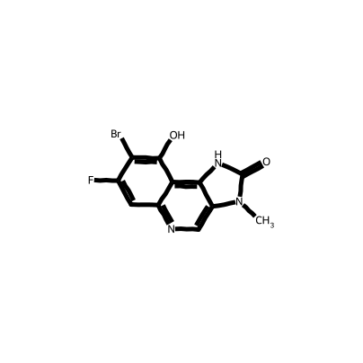 Cn1c(=O)[nH]c2c3c(O)c(Br)c(F)cc3ncc21